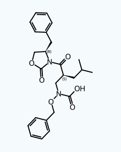 CC(C)C[C@@H](CN(OCc1ccccc1)C(=O)O)C(=O)N1C(=O)OC[C@H]1Cc1ccccc1